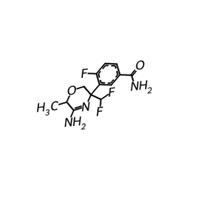 CC1OCC(c2cc(C(N)=O)ccc2F)(C(F)F)N=C1N